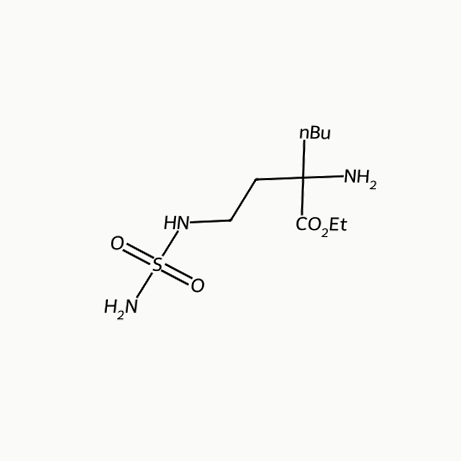 [CH2]CCCC(N)(CCNS(N)(=O)=O)C(=O)OCC